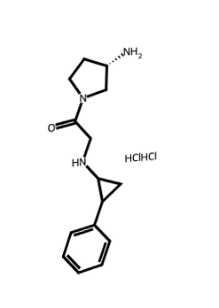 Cl.Cl.N[C@H]1CCN(C(=O)CNC2CC2c2ccccc2)C1